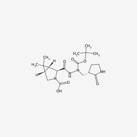 CC(C)(C)OC(=O)N(C[C@@H]1CCNC1=O)NC(=O)[C@@H]1[C@@H]2[C@H](CN1C(=O)O)C2(C)C